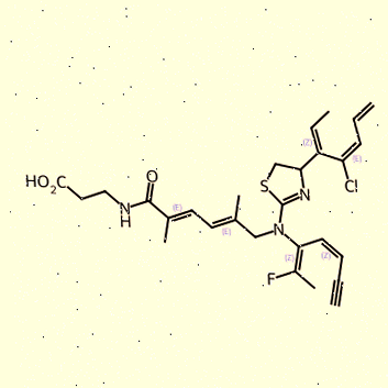 C#C/C=C\C(=C(/C)F)N(C/C(C)=C/C=C(\C)C(=O)NCCC(=O)O)C1=NC(C(=C/C)/C(Cl)=C\C=C)CS1